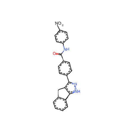 O=C(Nc1ccc([N+](=O)[O-])cc1)c1ccc(-c2n[nH]c3c2Cc2ccccc2-3)cc1